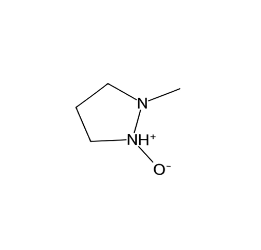 CN1CCC[NH+]1[O-]